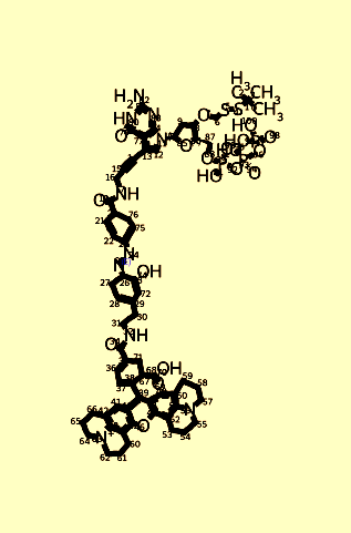 CC(C)(C)SSCOC1C[C@H](n2cc(C#CCNC(=O)C3C=CC(/N=N/C4CC=C(CCNC(=O)C5=CC=C(C6=c7cc8c9c(c7Oc7c6cc6c%10c7CCCN%10CCC6)CCC[N+]=9CCC8)C(C(=O)O)C5)C=C4O)=CC3)c3c(=O)[nH]c(N)nc32)O[C@@H]1COP(=O)(O)OP(=O)(O)OP(=O)(O)O